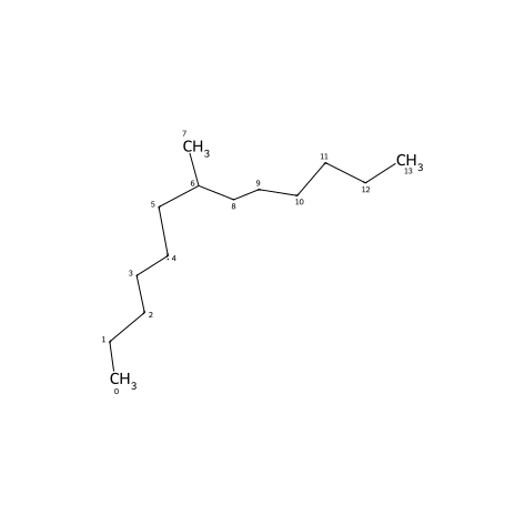 CCCC[CH]CC(C)CCCCCC